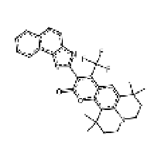 CC1(C)CCN2CCC(C)(C)c3c2c1cc1c(C(F)(F)F)c(-c2nc4ccc5ccccc5c4s2)c(=O)oc31